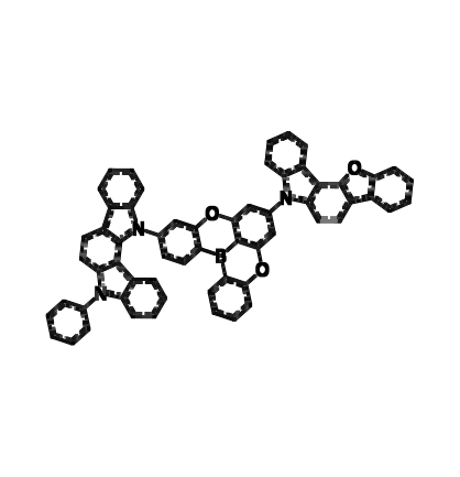 c1ccc(-n2c3ccccc3c3c2ccc2c4ccccc4n(-c4ccc5c(c4)Oc4cc(-n6c7ccccc7c7c8oc9ccccc9c8ccc76)cc6c4B5c4ccccc4O6)c23)cc1